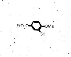 CCOC(=O)c1ccc(OC)c(S)c1